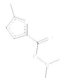 Cc1ccc(C(=O)NN(C)C)s1